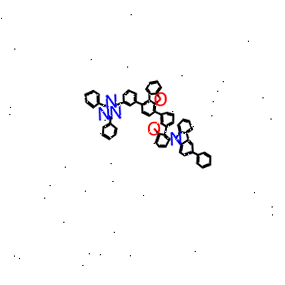 c1ccc(-c2ccc3c(c2)c2ccccc2n3-c2cccc3oc4c(-c5ccc(-c6cccc(-c7nc(-c8ccccc8)nc(-c8ccccc8)n7)c6)c6c5oc5ccccc56)cccc4c23)cc1